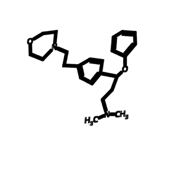 CN(C)CCC(Oc1ccccc1)c1ccc(CCN2CCOCC2)cc1